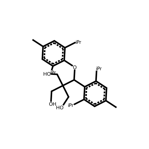 Cc1cc(C(C)C)c(OC(c2c(C(C)C)cc(C)cc2C(C)C)C(CO)(CO)CO)c(C(C)C)c1